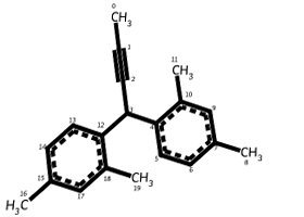 CC#CC(c1ccc(C)cc1C)c1ccc(C)cc1C